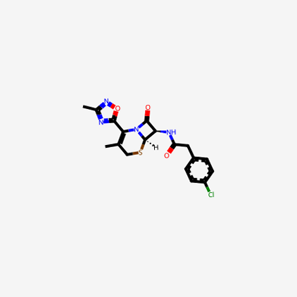 CC1=C(c2nc(C)no2)N2C(=O)[C@@H](NC(=O)Cc3ccc(Cl)cc3)[C@H]2SC1